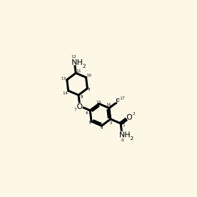 NC(=O)c1ccc(OC2CCC(N)CC2)cc1F